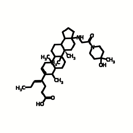 CC/C=C(\CCC(=O)O)C1=CCC2(C)C(CCC3(C)C2CCC2C4CCCC4(NCC(=O)N4CCC(C)(O)CC4)CC[C@]23C)C1C